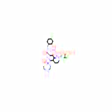 O=C(NCc1ccc(F)cc1)c1nc(N2CCNCC[S+]2[O-])c2ccc[n+]([O-])c2c1O.O=C(O)C(F)(F)F